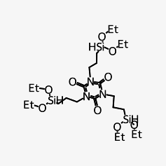 CCO[SiH](CCCn1c(=O)n(CCC[SiH](OCC)OCC)c(=O)n(CCC[SiH](OCC)OCC)c1=O)OCC